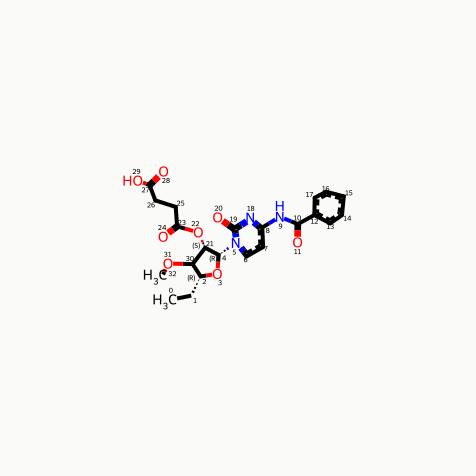 CC[C@H]1O[C@@H](n2ccc(NC(=O)c3ccccc3)nc2=O)[C@@H](OC(=O)CCC(=O)O)C1OC